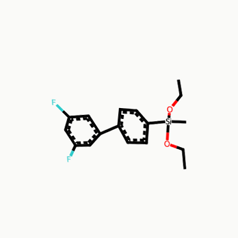 CCO[Si](C)(OCC)c1ccc(-c2cc(F)cc(F)c2)cc1